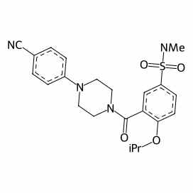 CNS(=O)(=O)c1ccc(OC(C)C)c(C(=O)N2CCN(c3ccc(C#N)cc3)CC2)c1